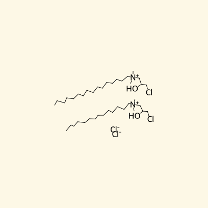 CCCCCCCCCCCCCCCC[N+](C)(C)CC(O)CCl.CCCCCCCCCCCCCC[N+](C)(C)CC(O)CCl.[Cl-].[Cl-]